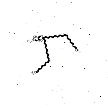 CCCCCCC/C=C\CCCCCCCCC1(CCCCCCCC/C=C\CCCCCCC)OC[C@H](CN(C)C)O1